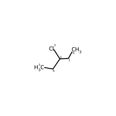 CCC(Cl)CC